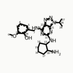 COc1cccc(CNc2nc(NC3CCCCC3N)nc3c2nnn3C(C)C)c1O